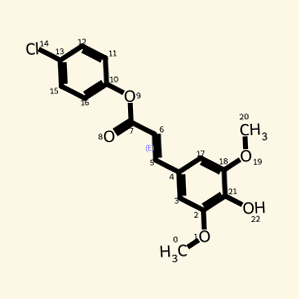 COc1cc(/C=C/C(=O)Oc2ccc(Cl)cc2)cc(OC)c1O